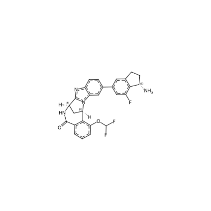 N[C@H]1CCc2cc(-c3ccc4nc5n(c4c3)[C@@H]3C[C@H]5NC(=O)c4cccc(OC(F)F)c43)cc(F)c21